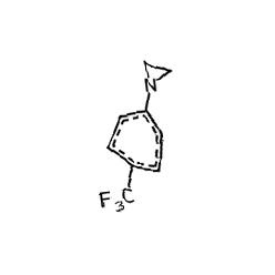 FC(F)(F)c1ccc(N2CC2)cc1